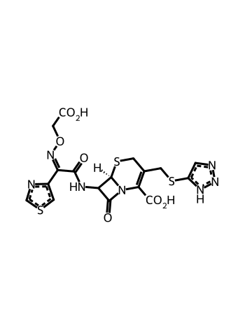 O=C(O)CO/N=C(\C(=O)NC1C(=O)N2C(C(=O)O)=C(CSc3cnn[nH]3)CS[C@H]12)c1cscn1